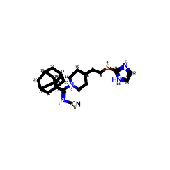 N#CN=C(N1CCC(CCSc2ncc[nH]2)CC1)C12CC3CC(CC(C3)C1)C2